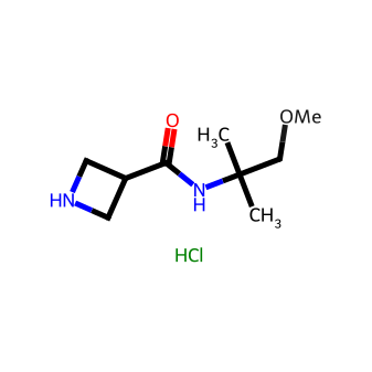 COCC(C)(C)NC(=O)C1CNC1.Cl